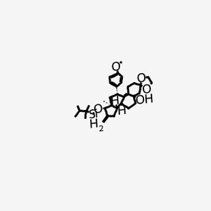 C=C1C[C@H]2[C@@H]3CC[C@@]4(O)CC5(CCC4=C3[C@@H](c3ccc(OC)cc3)C[C@]2(C)[C@H]1O[SiH2]C(C)(C)C(C)C)OCCO5